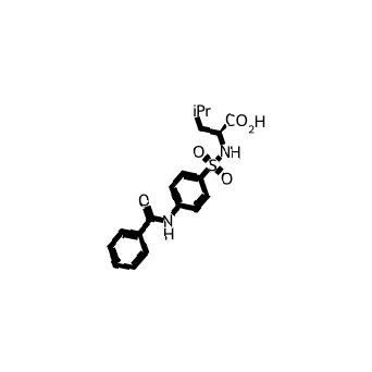 CC(C)C[C@H](NS(=O)(=O)c1ccc(NC(=O)c2ccccc2)cc1)C(=O)O